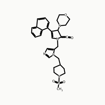 CS(=O)(=O)N1CCC(Cn2cncc2CN2C=C(c3cccc4ccccc34)C(N3CCOCC3)C2=C=O)CC1